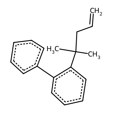 C=CCC(C)(C)c1ccccc1-c1ccccc1